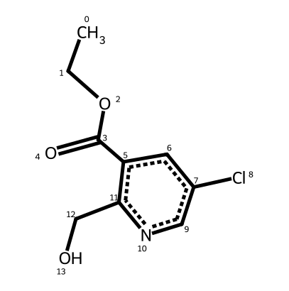 CCOC(=O)c1cc(Cl)cnc1CO